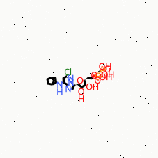 O=P(O)(O)CP(=O)(O)OCC[C@H]1O[C@@H](c2cnc3c(NC4CC5CCC4C5)cc(Cl)nn23)[C@H](O)[C@@H]1O